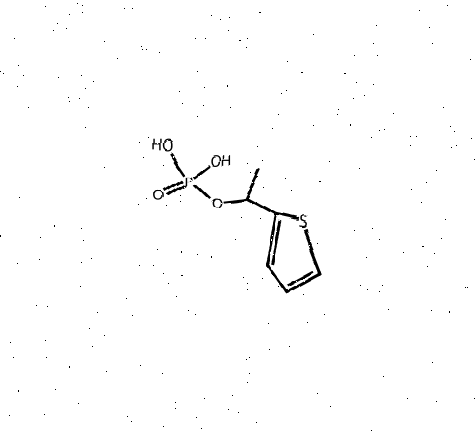 CC(OP(=O)(O)O)c1cccs1